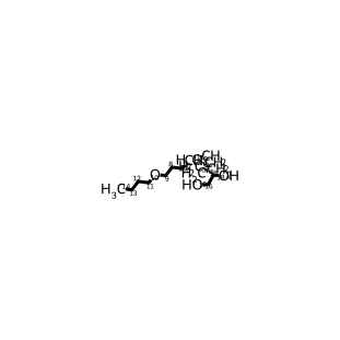 C=C.C=C.C=C.CCCCOCCCC.OCCO